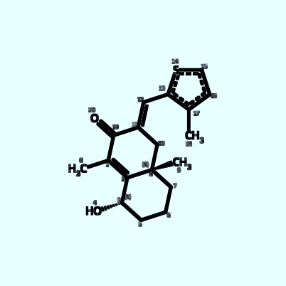 CC1=C2[C@@H](O)CCC[C@@]2(C)CC(=Cc2sccc2C)C1=O